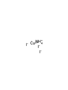 [Cu+2].[I-].[I-].[I-].[NH4+]